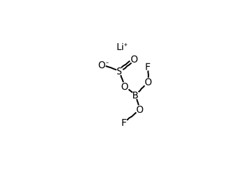 O=S([O-])OB(OF)OF.[Li+]